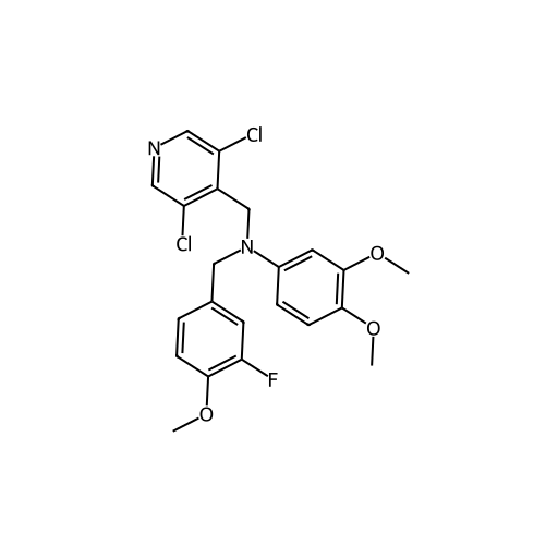 COc1ccc(CN(Cc2c(Cl)cncc2Cl)c2ccc(OC)c(OC)c2)cc1F